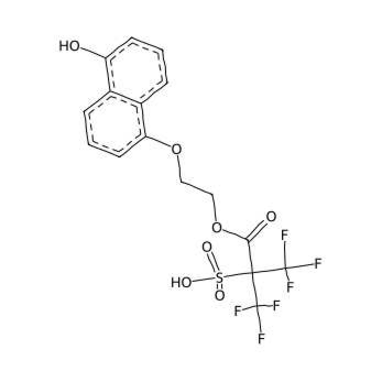 O=C(OCCOc1cccc2c(O)cccc12)C(C(F)(F)F)(C(F)(F)F)S(=O)(=O)O